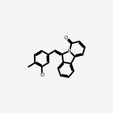 Cc1ccc(/C=c2\c3ccccc3c3cccc(=O)n23)cc1Cl